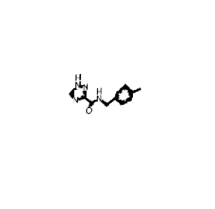 Cc1ccc(CNC(=O)c2nc[nH]n2)cc1